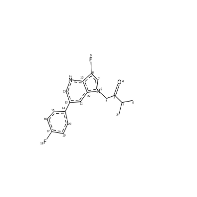 CC(C)C(=O)Cn1cc(F)c2ncc(-c3ccc(F)cc3)cc21